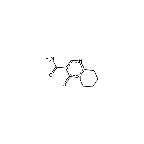 NC(=O)c1cnc2n(c1=O)CCCC2